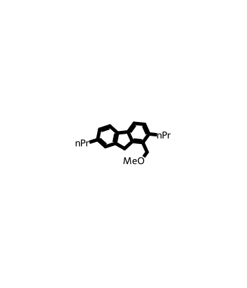 CCCc1ccc2c(c1)Cc1c-2ccc(CCC)c1COC